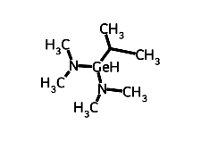 C[CH](C)[GeH]([N](C)C)[N](C)C